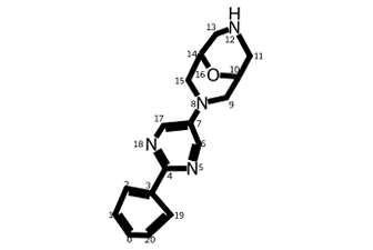 c1ccc(-c2ncc(N3CC4CNCC(C3)O4)cn2)cc1